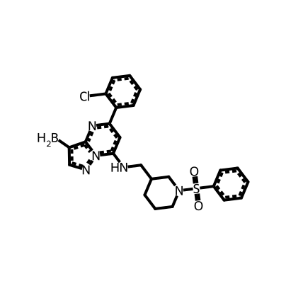 Bc1cnn2c(NCC3CCCN(S(=O)(=O)c4ccccc4)C3)cc(-c3ccccc3Cl)nc12